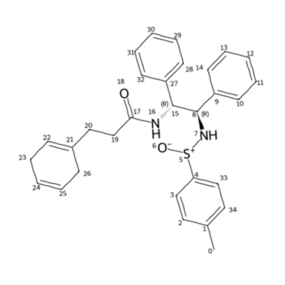 Cc1ccc([S+]([O-])N[C@H](c2ccccc2)[C@H](NC(=O)CCC2=CCC=CC2)c2ccccc2)cc1